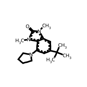 Cn1c(=O)n(C)c2c(N3CCCC3)cc(C(C)(C)C)cc21